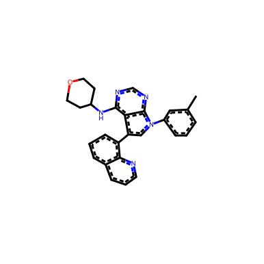 Cc1cccc(-n2cc(-c3cccc4cccnc34)c3c(NC4CCOCC4)ncnc32)c1